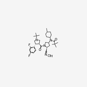 CC1CCC(N(C(=O)C(C)(C)C)[C@H]2C[C@@H](C#N)N(C(=O)[C@@H]3CN(C(C)(C)C)C[C@H]3c3ccc(F)cc3F)C2)CC1.Cl